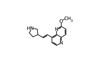 COc1ccc2nccc(C=CC3CCNC3)c2n1